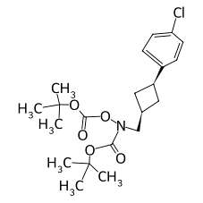 CC(C)(C)OC(=O)ON(C[C@H]1C[C@@H](c2ccc(Cl)cc2)C1)C(=O)OC(C)(C)C